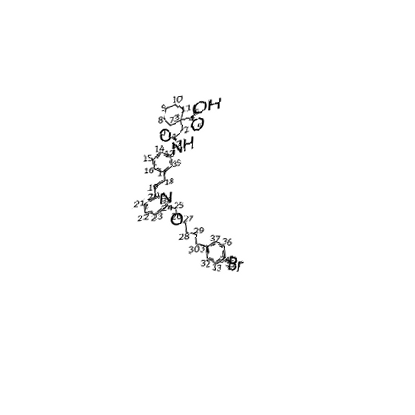 O=C(CC1(C(=O)O)CCCCC1)Nc1cccc(/C=C/c2cccc(COCCCCc3ccc(Br)cc3)n2)c1